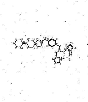 Cn1cccc1CN(Cc1ccc(CN2CCC3(CCN(C4CCCCC4)CC3)C2)cc1)Cc1ncc[nH]1